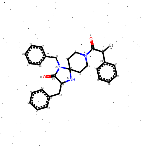 CCC(C(=O)N1CCC2(CC1)NC(Cc1ccccc1)C(=O)N2Cc1ccccc1)c1ccccc1